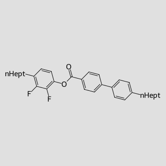 CCCCCCCc1ccc(-c2ccc(C(=O)Oc3ccc(CCCCCCC)c(F)c3F)cc2)cc1